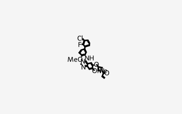 C=CC(=O)N1CC(Oc2cc3c(Nc4cc(-c5cccc(Cl)c5F)ccc4OC)ncnc3cc2OC)C1